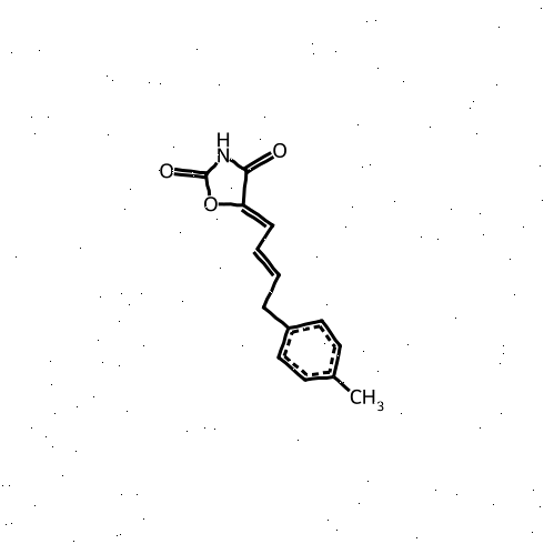 Cc1ccc(CC=CC=C2OC(=O)NC2=O)cc1